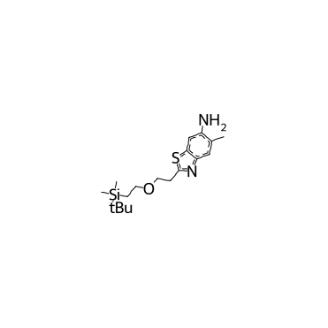 Cc1cc2nc(CCOCC[Si](C)(C)C(C)(C)C)sc2cc1N